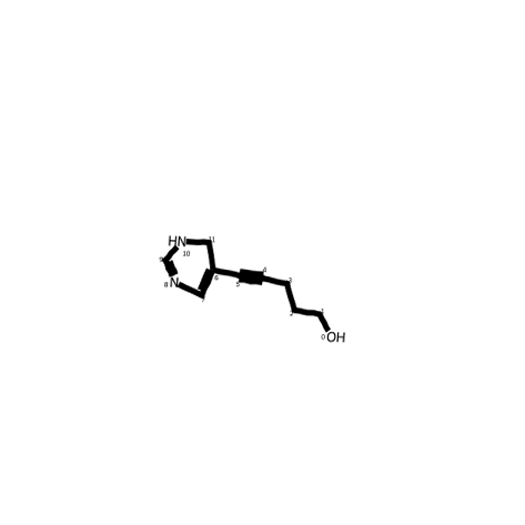 OCCCC#CC1=CN=[C]NC1